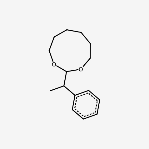 CC(c1ccccc1)C1OCCCCCCO1